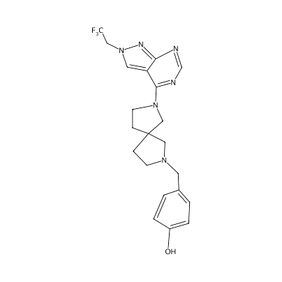 Oc1ccc(CN2CCC3(CCN(c4ncnc5nn(CC(F)(F)F)cc45)C3)C2)cc1